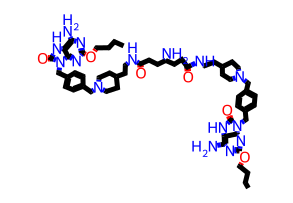 CCCCOc1nc(N)c2[nH]c(=O)n(Cc3ccc(CN4CCC(CCNC(=O)CCC(N)CCC(=O)NCCC5CCN(Cc6ccc(Cn7c(=O)[nH]c8c(N)nc(OCCCC)nc87)cc6)CC5)CC4)cc3)c2n1